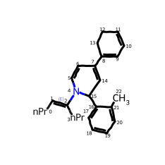 CCC/C=C(\CCC)N1C=CC(C2=CC=CCC2)=CC1c1ccccc1C